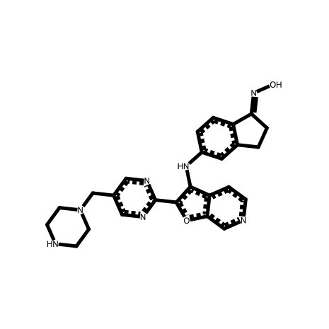 ON=C1CCc2cc(Nc3c(-c4ncc(CN5CCNCC5)cn4)oc4cnccc34)ccc21